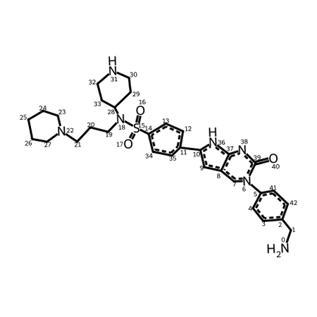 NCc1ccc(-n2cc3cc(-c4ccc(S(=O)(=O)N(CCCN5CCCCC5)C5CCNCC5)cc4)[nH]c3nc2=O)cc1